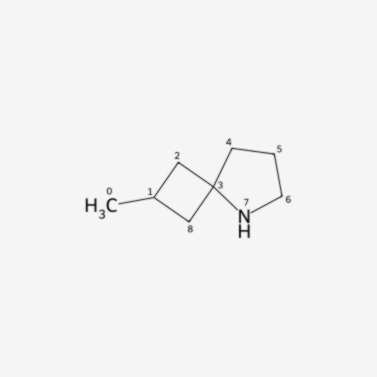 CC1CC2(CCCN2)C1